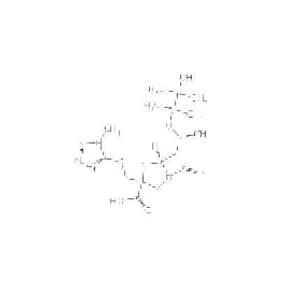 C[C@H](O[Si](C)(C)C(C)(C)C)[C@@H]1C(=O)N2CC(CSc3nnnn3C)(C(=O)O)S[C@H]12